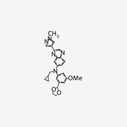 COc1cc(C2OCCO2)cc(N(CC2CC2)c2ccc3ncc(-c4cnn(C)c4)nc3c2)c1